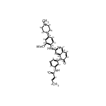 C/C=C/C(=O)Nc1cccc(-n2c(=O)ccc3cnc(Nc4ccc(N5CCN(C)CC5)cc4OC)nc32)c1